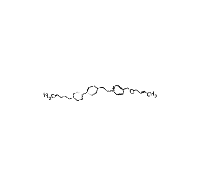 C=CCCC[C@H]1CC[C@H]([C@H]2CC[C@H](CCc3ccc(COCC=CC)cc3)CC2)CC1